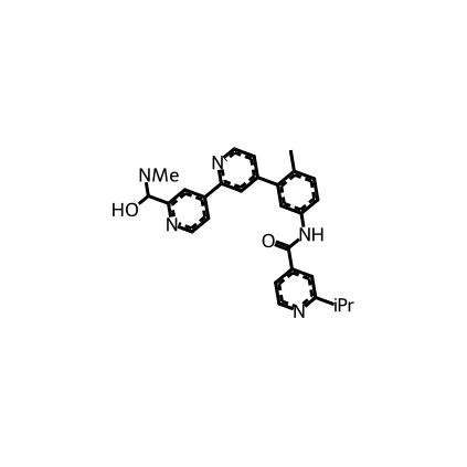 CNC(O)c1cc(-c2cc(-c3cc(NC(=O)c4ccnc(C(C)C)c4)ccc3C)ccn2)ccn1